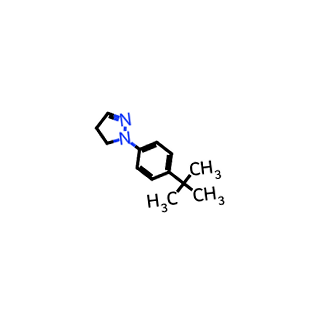 CC(C)(C)c1ccc(N2CCC=N2)cc1